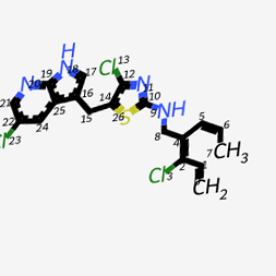 C=C/C(Cl)=C(\C=C/C)CNc1nc(Cl)c(Cc2c[nH]c3ncc(Cl)cc23)s1